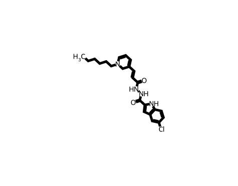 CCCCCCN1C=CC=C(/C=C/C(=O)NNC(=O)c2cc3cc(Cl)ccc3[nH]2)C1